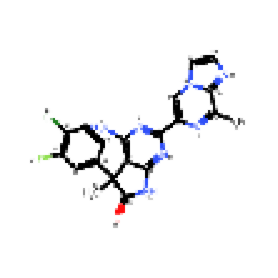 CCCc1nc(-c2nc(N)c3c(n2)NC(=O)C3(C)c2ccc(Cl)c(F)c2)cn2ccnc12